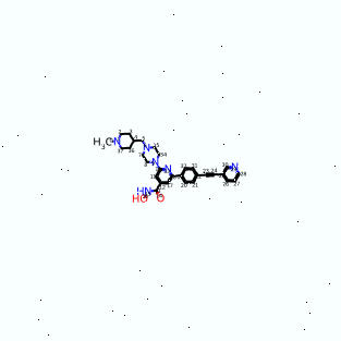 CN1CCC(CN2CCN(c3cc(C(=O)NO)cc(-c4ccc(C#Cc5cccnc5)cc4)n3)CC2)CC1